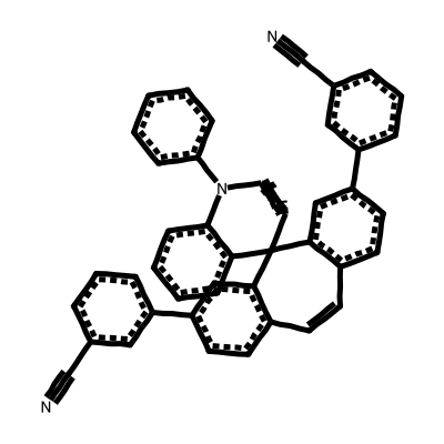 N#Cc1cccc(-c2ccc3c(c2)C2(c4cc(-c5cccc(C#N)c5)ccc4C=C3)c3ccccc3N(c3ccccc3)c3ccccc32)c1